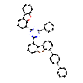 c1ccc(-c2ccc(-c3cccc4c3sc3cccc(-c5nc(-c6ccccc6)nc(-c6cccc7c6oc6ccccc67)n5)c34)cc2)cc1